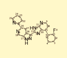 Fc1ccccc1-c1ccnc2[nH]c(-c3n[nH]c4cnc(-c5ccccn5)cc34)nc12